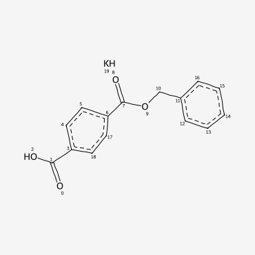 O=C(O)c1ccc(C(=O)OCc2ccccc2)cc1.[KH]